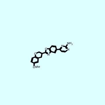 COc1ccc2c(c1)CC(c1nc3cc(-c4ccnc(N)n4)ccc3o1)CO2